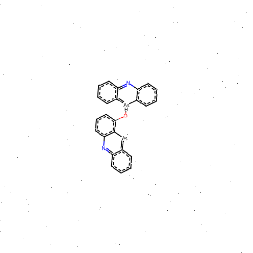 c1ccc2c(c1)N=c1ccccc1=[AsH]2Oc1cccc2c1[As]=c1ccccc1=N2